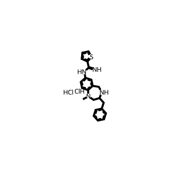 CN1CC(Cc2ccccc2)NCc2cc(NC(=N)c3cccs3)ccc21.Cl.Cl